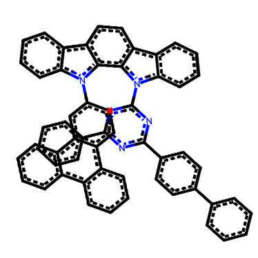 c1ccc(-c2ccc(-c3nc(-c4ccccc4)nc(-n4c5ccccc5c5ccc6c7ccccc7n(-c7ccc8c9ccccc9c9ccccc9c8c7)c6c54)n3)cc2)cc1